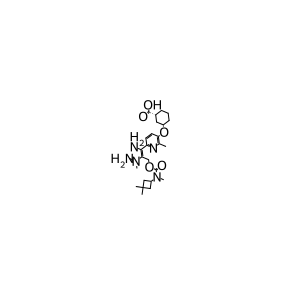 Cc1nc(/C(N)=C(\COC(=O)N(C)C2CC(C)(C)C2)N(C)N)ccc1O[C@H]1CCC[C@@H](C(=O)O)C1